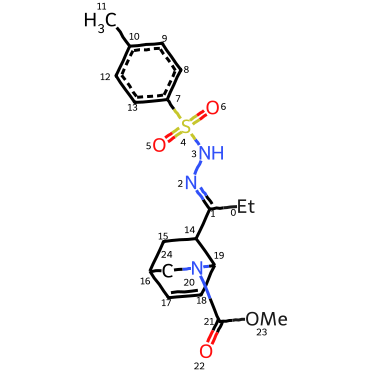 CCC(=NNS(=O)(=O)c1ccc(C)cc1)C1CC2C=CC1N(C(=O)OC)C2